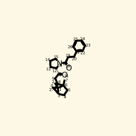 CC1(C)C2CCC1(C)C(CC(=O)[C@@H]1CCCN1C(=O)CCc1ccccc1)C2